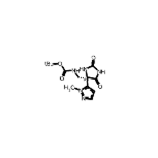 Cn1nccc1[C@@]1(CNC(=O)OC(C)(C)C)NC(=O)NC1=O